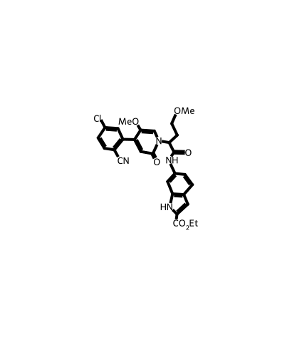 CCOC(=O)c1cc2ccc(NC(=O)C(CCOC)n3cc(OC)c(-c4cc(Cl)ccc4C#N)cc3=O)cc2[nH]1